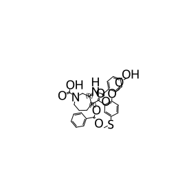 COCOc1ccc(SC)cc1C(=O)[C@@]1(OC(=O)c2ccccc2)CCCN(C(=O)O)C[C@H]1NC(=O)c1ccc(O)cc1